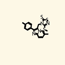 CSc1nsc(=S)n1Cc1c(-c2ccc(C)cc2)nc2ccc(C)cn12